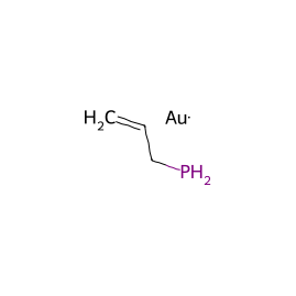 C=CCP.[Au]